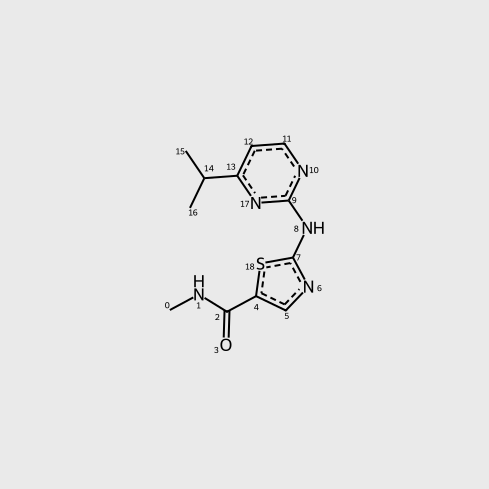 CNC(=O)c1cnc(Nc2nccc(C(C)C)n2)s1